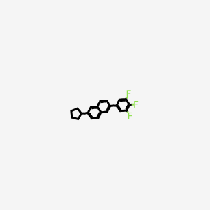 Fc1cc(-c2ccc3cc(C4CCCC4)ccc3c2)cc(F)c1F